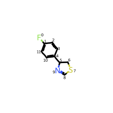 Fc1ccc(C2CSC=N2)cc1